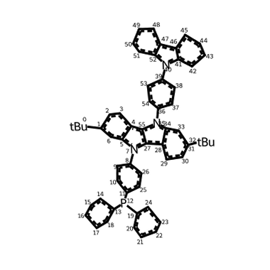 CC(C)(C)c1ccc2c(c1)n(-c1ccc(P(c3ccccc3)c3ccccc3)cc1)c1c3ccc(C(C)(C)C)cc3n(-c3ccc(-n4c5ccccc5c5ccccc54)cc3)c21